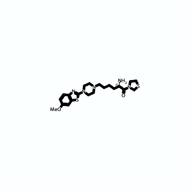 COc1ccc2nc(N3CCN(CCCC[C@H](N)C(=O)N4CCSC4)CC3)sc2c1